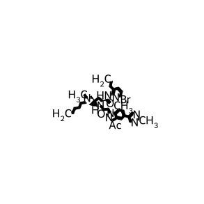 C=CCCCCN(C)C[C@@]12C[C@@H](C(=O)Nc3nc(Br)ccc3CC=C)N(C(=O)Cn3nc(C(C)=O)c4cc(-c5cnc(C)nc5)cc(C)c43)[C@@H]1C2